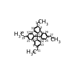 CCc1ccc(C(c2ccc(CC)cc2)(c2ccc(CC)cc2)c2ccc(CC)cc2)cc1